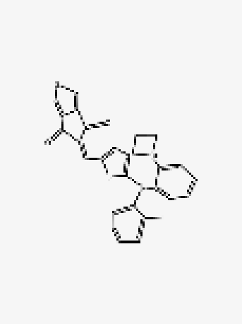 Cc1ccccc1N(c1ccc(C=C2C(=O)c3cscc3C2=O)s1)c1ccccc1[SiH]1CCC1